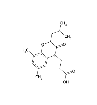 Cc1cc(C)c2c(c1)N(CCC(=O)O)C(=O)C(CC(C)C)O2